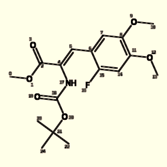 COC(=O)/C(=C/c1cc(OC)c(OC)cc1F)NC(=O)OC(C)(C)C